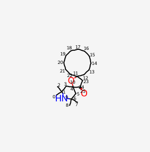 CC1(C)CC2(CC(C)(C)N1)OC1(CCCCCCCCCCC1)CC2=O